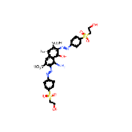 Nc1c(N=Nc2ccc(S(=O)(=O)CCO)cc2)c(S(=O)(=O)O)cc2cc(S(=O)(=O)O)c(N=Nc3ccc(S(=O)(=O)CCO)cc3)c(O)c12.[NaH]